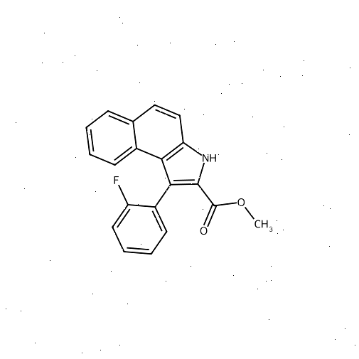 COC(=O)c1[nH]c2ccc3ccccc3c2c1-c1ccccc1F